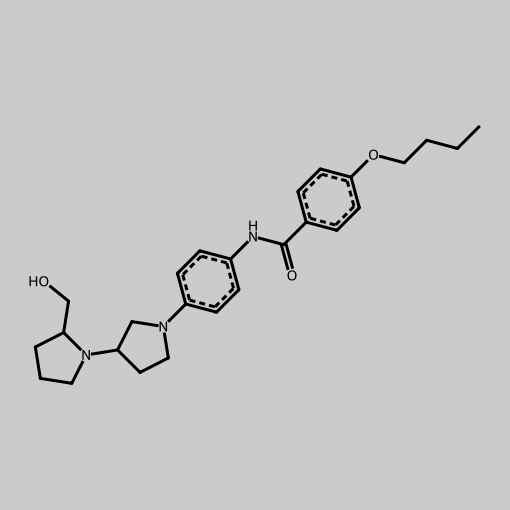 CCCCOc1ccc(C(=O)Nc2ccc(N3CCC(N4CCCC4CO)C3)cc2)cc1